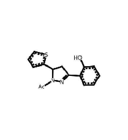 CC(=O)N1N=C(c2ccccc2O)CC1c1cccs1